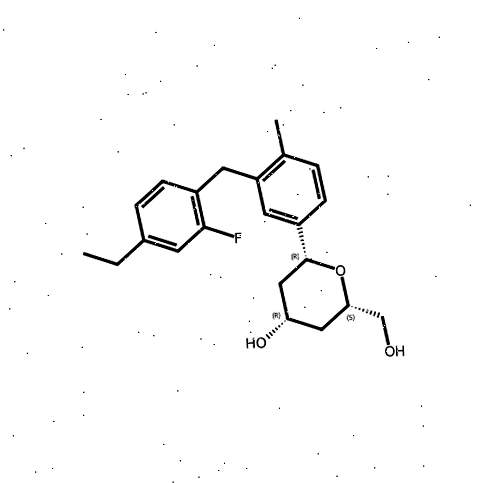 CCc1ccc(Cc2cc([C@H]3C[C@@H](O)C[C@@H](CO)O3)ccc2C)c(F)c1